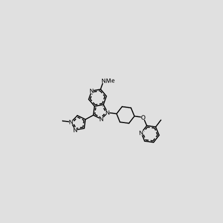 CNc1cc2c(cn1)c(-c1cnn(C)c1)nn2C1CCC(Oc2ncccc2C)CC1